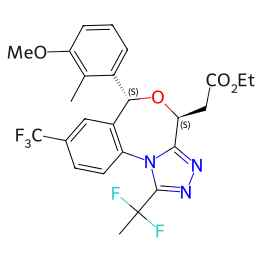 CCOC(=O)C[C@@H]1O[C@@H](c2cccc(OC)c2C)c2cc(C(F)(F)F)ccc2-n2c1nnc2C(C)(F)F